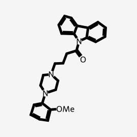 COc1ccccc1N1CCN(CCCC(=O)n2c3ccccc3c3ccccc32)CC1